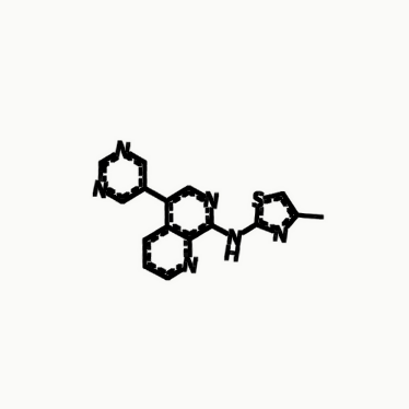 Cc1csc(Nc2ncc(-c3cncnc3)c3cccnc23)n1